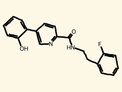 O=C(NCCc1ccccc1F)c1ccc(-c2ccccc2O)cn1